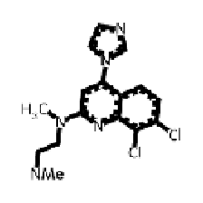 CNCCN(C)c1cc(-n2ccnc2)c2ccc(Cl)c(Cl)c2n1